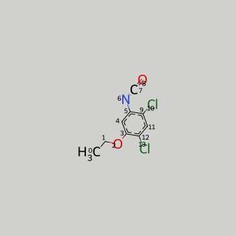 CCOc1cc(N=C=O)c(Cl)cc1Cl